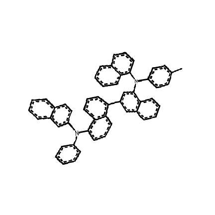 Cc1ccc(N(c2cccc3ccccc23)c2cc(-c3cccc4c(N(c5ccccc5)c5ccc6ccccc6c5)cccc34)cc3ccccc23)cc1